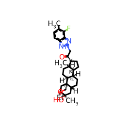 CCOC[C@]12CC[C@@](C)(O)C[C@H]1CC[C@H]1[C@@H]3CC[C@H](C(=O)Cn4nc5ccc(C)c(F)c5n4)[C@@]3(C)CC[C@@H]12